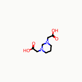 O=C(O)CN1CCCN(CC(=O)O)C1